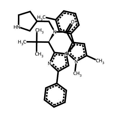 Cc1cccc(Cn2cc(-c3ccccc3)nc2[C@H](N(CC2CCNC2)C(=O)c2cc(C)n(C)n2)C(C)(C)C)c1